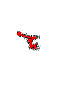 C=C1C[C@H]2C(O)N(C(=O)OCc3ccc(O[C@@H]4O[C@H](C(=O)O)[C@@H](O)[C@H](O)[C@H]4O)c(C(=O)NCCCNC(=O)CCOCCOCCOCCOCCC(=O)NCCC(=O)N4Cc5ccccc5-c5nnn(C(C)C)c5-c5ccccc54)c3)c3cc(OCCCCCOc4cc5c(cc4OC)C(=O)N4CC(=C)C[C@H]4C(O)N5C(=O)OCc4ccc(O[C@@H]5O[C@H](C(=O)O)[C@@H](O)[C@H](O)[C@H]5O)c(C(=O)NCCOC)c4)c(OC)cc3C(=O)N2C1